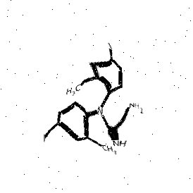 Cc1cc(I)ccc1N(C(=N)N)c1ccc(I)cc1C